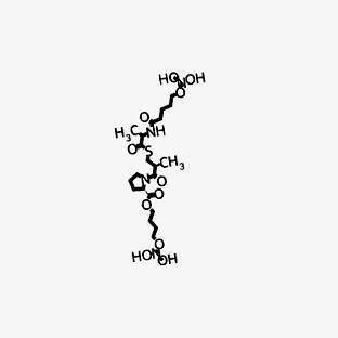 CC(NC(=O)CCCCON(O)O)C(=O)SC[C@@H](C)C(=O)N1CCC[C@H]1C(=O)OCCCCON(O)O